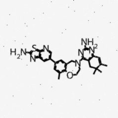 CC1=Cc2nc(N)nc(N3CCOc4c(C)cc(-c5cnc6sc(N)nc6c5)cc4C3)c2CC1(C)C